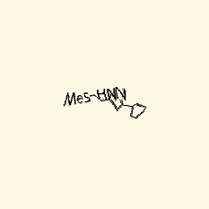 CSCCc1cc(-c2ccccc2)n[nH]1